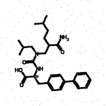 CC(C)CCC(CN(CC(C)C)C(=O)N[C@@H](Cc1ccc(-c2ccccc2)cc1)C(=O)O)C(N)=O